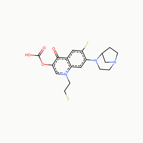 O=C(O)Oc1cn(CCF)c2cc(N3CCN4CCC3C4)c(F)cc2c1=O